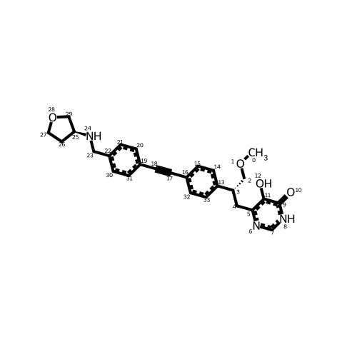 COC[C@H](Cc1nc[nH]c(=O)c1O)c1ccc(C#Cc2ccc(CN[C@H]3CCOC3)cc2)cc1